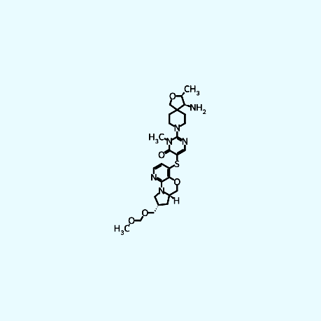 COCOC[C@H]1C[C@H]2COc3c(Sc4cnc(N5CCC6(CC5)CO[C@@H](C)[C@H]6N)n(C)c4=O)ccnc3N2C1